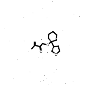 C=C(C)C(=O)COC1(C2CCOC2)CCCCC1